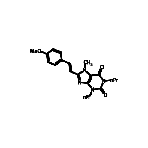 CCCn1c(=O)c2c(nc(/C=C/c3ccc(OC)cc3)n2C)n(CCC)c1=O